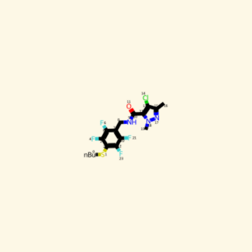 CCCCSc1c(F)c(F)c(CNC(=O)c2c(Cl)c(C)nn2C)c(F)c1F